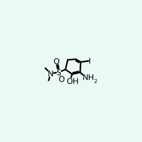 CN(C)S(=O)(=O)C1CC=C(I)C(N)=C1O